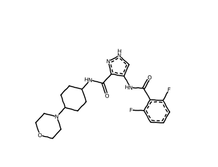 O=C(NC1CCC(N2CCOCC2)CC1)c1n[nH]cc1NC(=O)c1c(F)cccc1F